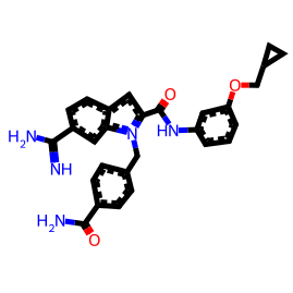 N=C(N)c1ccc2cc(C(=O)Nc3cccc(OCC4CC4)c3)n(Cc3ccc(C(N)=O)cc3)c2c1